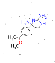 COC(C)c1ccc(C2(N)C=CNC(N)=N2)cc1